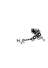 CCCCCCC=COc1ccc(C(=O)N(C)c2cccc3c2OC(c2nnn[nH]2)CO3)cc1